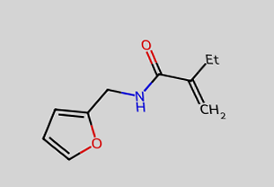 C=C(CC)C(=O)NCc1ccco1